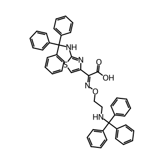 O=C(O)C(=NOCCNC(c1ccccc1)(c1ccccc1)c1ccccc1)c1csc(NC(c2ccccc2)(c2ccccc2)c2ccccc2)n1